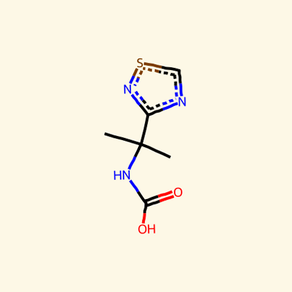 CC(C)(NC(=O)O)c1ncsn1